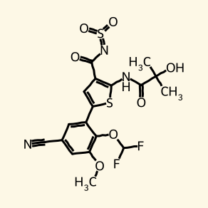 COc1cc(C#N)cc(-c2cc(C(=O)N=S(=O)=O)c(NC(=O)C(C)(C)O)s2)c1OC(F)F